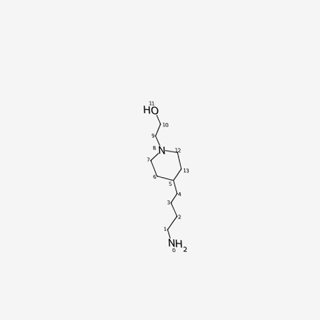 NCCCCC1CCN(CCO)CC1